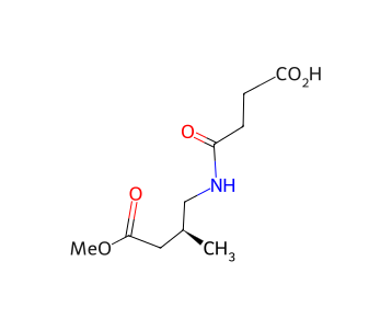 COC(=O)C[C@H](C)CNC(=O)CCC(=O)O